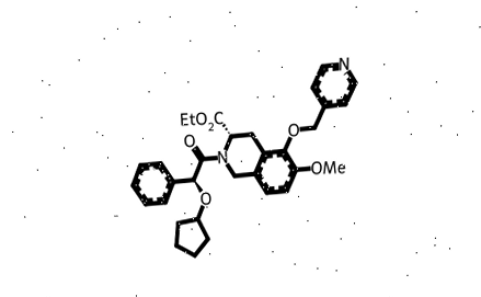 CCOC(=O)[C@@H]1Cc2c(ccc(OC)c2OCc2ccncc2)CN1C(=O)[C@@H](OC1CCCC1)c1ccccc1